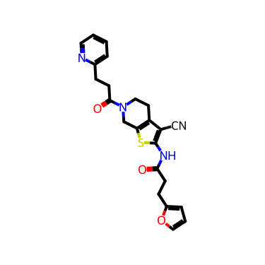 N#Cc1c(NC(=O)CCc2ccco2)sc2c1CCN(C(=O)CCc1ccccn1)C2